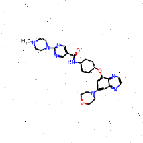 CN1CCN(c2ncc(C(=O)NC3CCC(Oc4cc(N5CCOCC5)cc5nccnc45)CC3)cn2)CC1